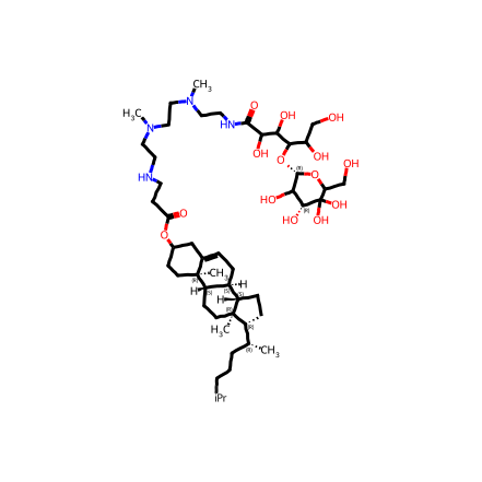 CC(C)CCC[C@@H](C)[C@H]1CC[C@H]2[C@@H]3CC=C4CC(OC(=O)CCNCCN(C)CCN(C)CCNC(=O)C(O)C(O)C(O[C@@H]5OC(CO)C(O)(O)[C@H](O)C5O)C(O)CO)CC[C@]4(C)[C@H]3CC[C@]12C